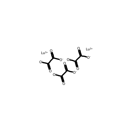 O=C([O-])C(=O)[O-].O=C([O-])C(=O)[O-].O=C([O-])C(=O)[O-].[Lu+3].[Lu+3]